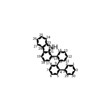 c1ccc(-c2ccccc2-c2ccccc2-c2cccc3c2[nH]c2ccccc23)cc1